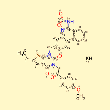 CCc1cc2c(=O)n(CC(=O)c3ccc(OC)cc3)c(=O)n(Cc3ccc(-c4ccccc4-c4noc(=O)[nH]4)cc3)c2s1.[KH]